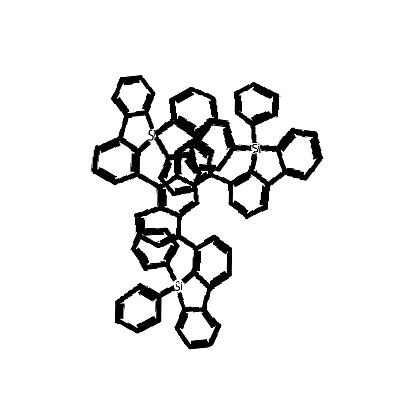 c1ccc([Si]2(c3ccccc3)c3ccccc3-c3cccc(-c4cccc5c(-c6cccc7c6[Si](c6ccccc6)(c6ccccc6)c6ccccc6-7)c6cccc(-c7cccc8c7[Si](c7ccccc7)(c7ccccc7)c7ccccc7-8)c6cc45)c32)cc1